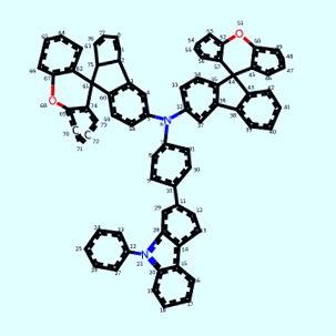 C1=CC2c3cc(N(c4ccc(-c5ccc6c7ccccc7n(-c7ccccc7)c6c5)cc4)c4ccc5c(c4)-c4ccccc4C54c5ccccc5Oc5ccccc54)ccc3C3(c4ccccc4Oc4ccccc43)C2C=C1